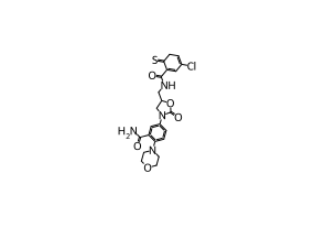 NC(=O)c1cc(N2CC(CNC(=O)C3=CC(Cl)=CCC3=S)OC2=O)ccc1N1CCOCC1